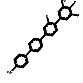 Cc1ccc(-c2ccc(-c3ccc(-c4cc(F)c(F)c(P)c4)c(F)c3)cc2)cc1